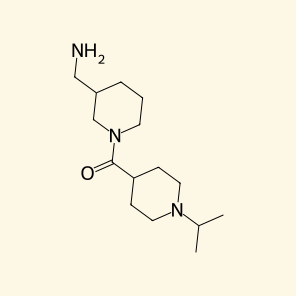 CC(C)N1CCC(C(=O)N2CCCC(CN)C2)CC1